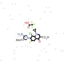 CO[C@H]1CN(c2c(F)cc3c(=O)c(C(=O)O)cn(C4CC4)c3c2Cl)C[C@H]1N.O=C(O)C(F)(F)F